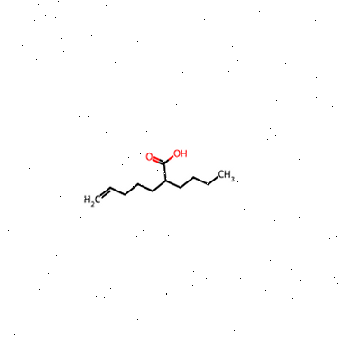 C=CCCCC(CCCC)C(=O)O